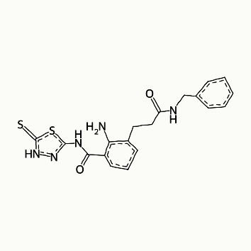 Nc1c(CCC(=O)NCc2ccccc2)cccc1C(=O)Nc1n[nH]c(=S)s1